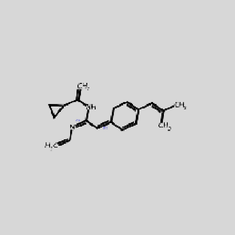 C=C/N=C(\C=C1\C=CC(C=C(C)C)=CC1)NC(=C)C1CC1